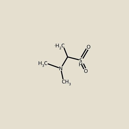 [CH2]C(N(C)C)[SH](=O)=O